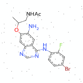 CC(=O)NCC(C)Oc1cc2ncnc(Nc3ccc(Br)cc3F)c2cc1N